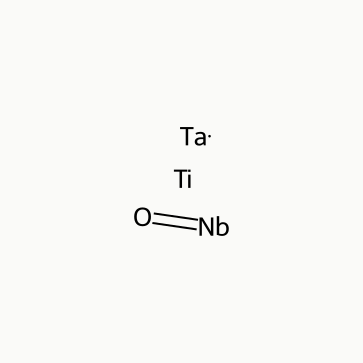 [O]=[Nb].[Ta].[Ti]